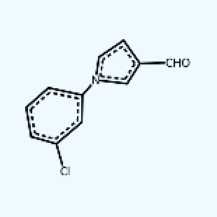 O=Cc1ccn(-c2cccc(Cl)c2)c1